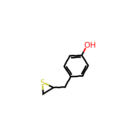 Oc1ccc(CC2CS2)cc1